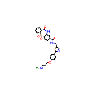 O=C(NCc1cnc(-c2ccc(OCCCNCl)cc2)s1)c1ccc2c(c1)NC(=O)c1ccccc1S2(=O)=O